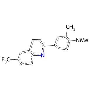 CNc1ccc(-c2ccc3cc(C(F)(F)F)ccc3n2)cc1C